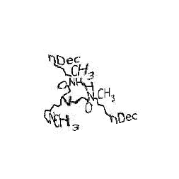 CCCCCCCCCCCCCC(C)NC(=O)CCN(CCC(=O)NC(C)CCCCCCCCCCCCC)CCC1CCCN1C